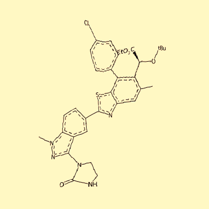 CCOC(=O)[C@@H](OC(C)(C)C)c1c(C)cc2nc(-c3ccc4c(c3)c(N3CCNC3=O)nn4C)sc2c1-c1ccc(Cl)cc1